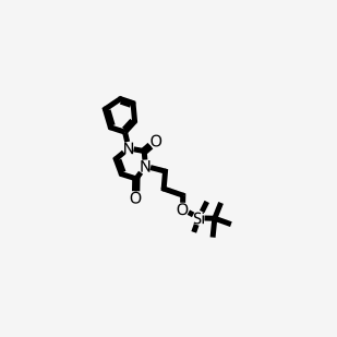 CC(C)(C)[Si](C)(C)OCCCn1c(=O)ccn(-c2ccccc2)c1=O